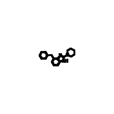 c1ccc(Cc2cccc3[nH]c(N4CCCCC4)nc23)cc1